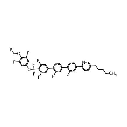 CCCCCc1ccc(-c2ccc(-c3ccc(-c4cc(F)c(C(F)(F)Oc5cc(F)c(OCF)c(F)c5)c(F)c4)c(F)c3)c(F)c2)nc1